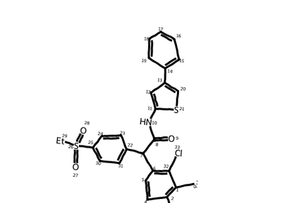 [C]c1c(Cl)ccc(C(C(=O)Nc2cc(-c3ccccc3)cs2)c2ccc(S(=O)(=O)CC)cc2)c1Cl